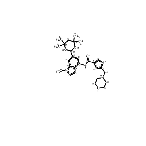 Cn1ncc2c(NC(=O)c3csc(CN4CCOCC4)n3)cc(B3OC(C)(C)CC(C)(C)O3)cc21